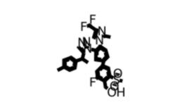 Cc1ccc(C(C)c2cnnn2-c2cc(-c3cc(F)c(CO)c(S(C)(=O)=O)c3)ccc2-n2cc(C(F)F)nc2C)cc1